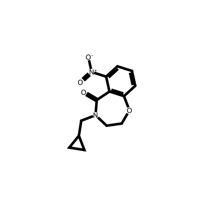 O=C1c2c(cccc2[N+](=O)[O-])OCCN1CC1CC1